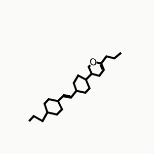 CCCC1=CCC(C2CCC(/C=C/C3CCC(CCC)CC3)CC2)CO1